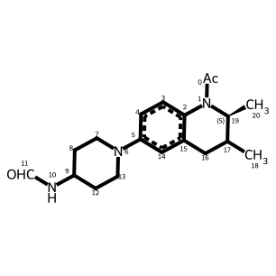 CC(=O)N1c2ccc(N3CCC(NC=O)CC3)cc2CC(C)[C@@H]1C